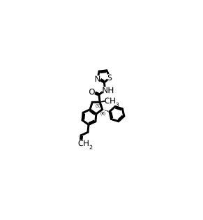 C=CCc1ccc2c(c1)[C@@H](c1ccccc1)[C@@](C)(C(=O)Nc1nccs1)C2